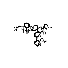 CCOc1ncccc1-c1ccc2c(n1)C(=O)N([C@H]1CCNC1)CC21CCN(c2cccc(OCC#N)c2C(F)(F)F)CC1